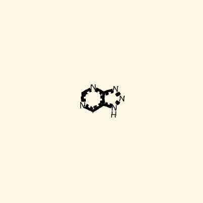 [c]1ncnc2nn[nH]c12